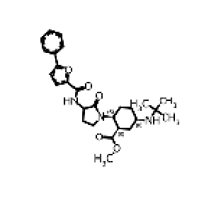 COC(=O)[C@@H]1C[C@H](NC(C)(C)C)CC[C@@H]1N1CCC(NC(=O)c2ccc(-c3ccccc3)o2)C1=O